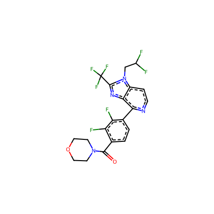 O=C(c1ccc(-c2nccc3c2nc(C(F)(F)F)n3CC(F)F)c(F)c1F)N1CCOCC1